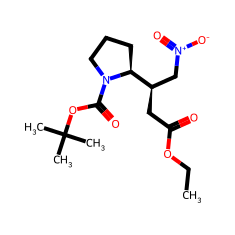 CCOC(=O)C[C@H](C[N+](=O)[O-])[C@@H]1CCCN1C(=O)OC(C)(C)C